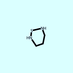 C1CNSNC1